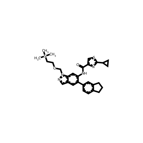 C[Si](C)(C)CCOCn1ncc2cc(-c3ccc4c(c3)CCC4)c(NC(=O)c3csc(C4CC4)n3)cc21